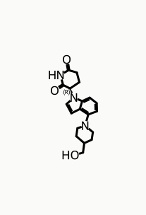 O=C1CC[C@@H](n2ccc3c(N4CCC(CO)CC4)cccc32)C(=O)N1